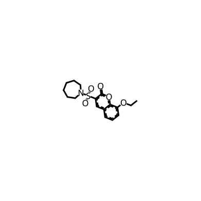 CCOc1cccc2cc(S(=O)(=O)N3CCCCCC3)c(=O)oc12